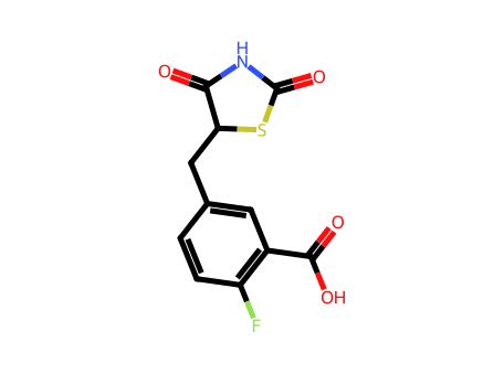 O=C1NC(=O)C(Cc2ccc(F)c(C(=O)O)c2)S1